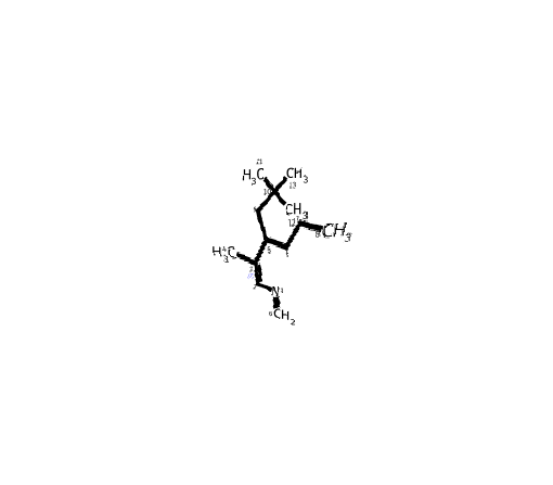 C=N/C=C(/C)C(CCC)CC(C)(C)C